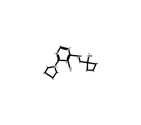 OC1(CNc2ncnc(N3CCCC3)c2Cl)CCC1